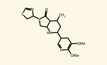 COC1=C(OC)N=CC(C2CC(C)C3C(=O)N(C4CSC=N4)CC3N2)C1